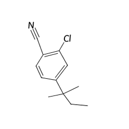 CCC(C)(C)c1ccc(C#N)c(Cl)c1